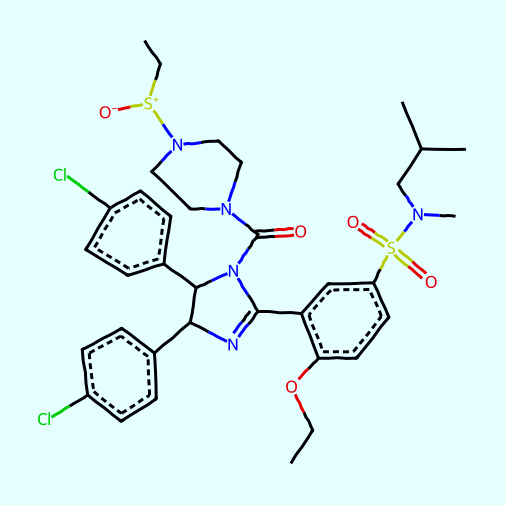 CCOc1ccc(S(=O)(=O)N(C)CC(C)C)cc1C1=NC(c2ccc(Cl)cc2)C(c2ccc(Cl)cc2)N1C(=O)N1CCN([S+]([O-])CC)CC1